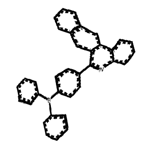 c1ccc(B(c2ccccc2)c2ccc(-c3nc4ccccc4c4cc5ccccc5cc34)cc2)cc1